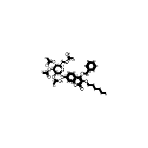 CCCCCCOc1c(OCc2ccccc2)c2ccc(O[C@H]3O[C@H](COC(C)=O)[C@@H](OC(C)=O)[C@H](OC(C)=O)[C@@H]3OC(C)=O)cc2oc1=O